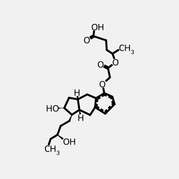 CC[C@H](O)CC[C@@H]1[C@H]2Cc3cccc(OCC(=O)OC(C)CCC(=O)O)c3C[C@H]2C[C@H]1O